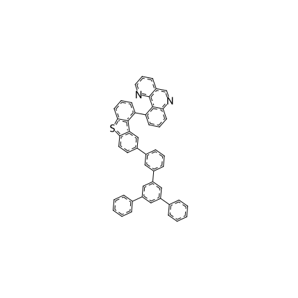 c1ccc(-c2cc(-c3ccccc3)cc(-c3cccc(-c4ccc5sc6cccc(-c7cccc8ncc9cccnc9c78)c6c5c4)c3)c2)cc1